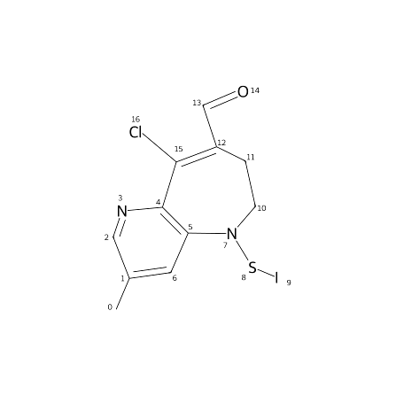 Cc1cnc2c(c1)N(SI)CCC(C=O)=C2Cl